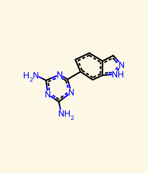 Nc1nc(N)nc(-c2ccc3cn[nH]c3c2)n1